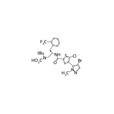 Cn1ncc(Br)c1-c1cc(C(=O)N[C@H](Cc2ccccc2C(F)(F)F)CN(C(=O)O)C(C)(C)C)sc1Cl